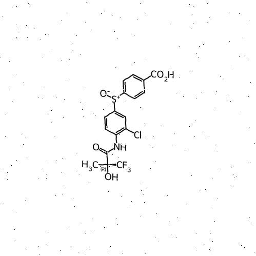 C[C@@](O)(C(=O)Nc1ccc([S+]([O-])c2ccc(C(=O)O)cc2)cc1Cl)C(F)(F)F